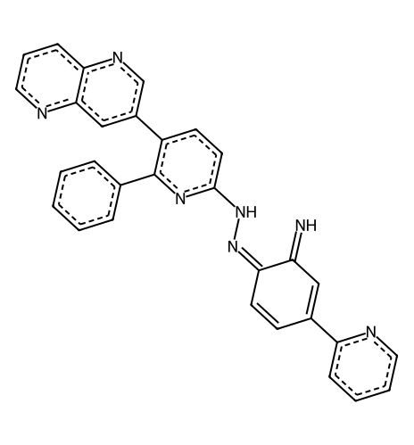 N=C1C=C(c2ccccn2)C=C/C1=N/Nc1ccc(-c2cnc3cccnc3c2)c(-c2ccccc2)n1